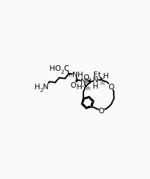 CC[C@H]1COCCCCOc2ccc(cc2)C[C@@H](NC(=O)N[C@@H](CCCCN)C(=O)O)C(=O)N1